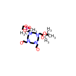 CC(C)(C)OC(=O)CN1CCN(CC=O)CCN(CC=O)CCN(C(C)(C)P2(=O)OCCO2)CC1